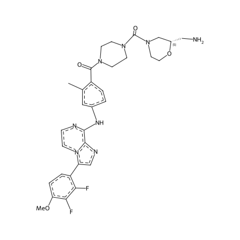 COc1ccc(-c2cnc3c(Nc4ccc(C(=O)N5CCN(C(=O)N6CCO[C@@H](CN)C6)CC5)c(C)c4)nccn23)c(F)c1F